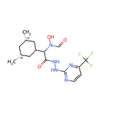 C[C@@H]1CC(C(C(=O)NNc2nccc(C(F)(F)F)n2)N(O)C=O)C[C@H](C)C1